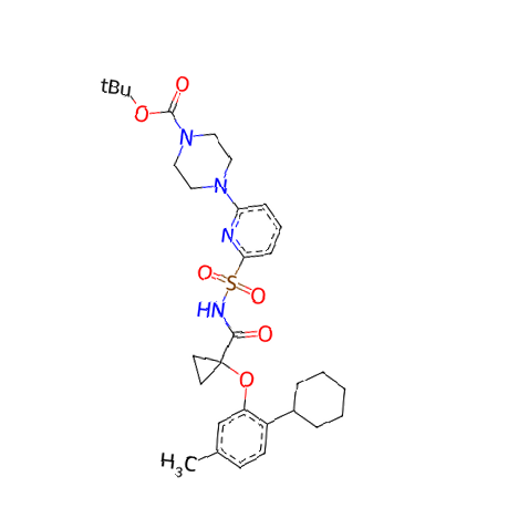 Cc1ccc(C2CCCCC2)c(OC2(C(=O)NS(=O)(=O)c3cccc(N4CCN(C(=O)OC(C)(C)C)CC4)n3)CC2)c1